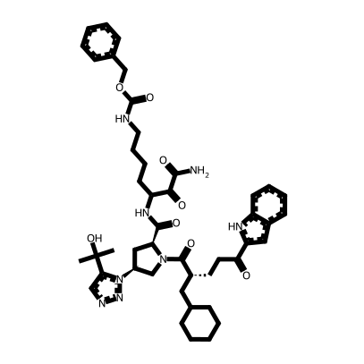 CC(C)(O)c1cnnn1[C@H]1C[C@@H](C(=O)NC(CCCCNC(=O)OCc2ccccc2)C(=O)C(N)=O)N(C(=O)[C@H](CCC(=O)c2cc3ccccc3[nH]2)CC2CCCCC2)C1